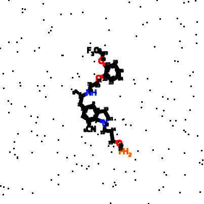 C[C@H](Cc1cc(C#N)c2c(c1)CCN2CCCOP)NCCOc1ccccc1OCC(F)(F)F